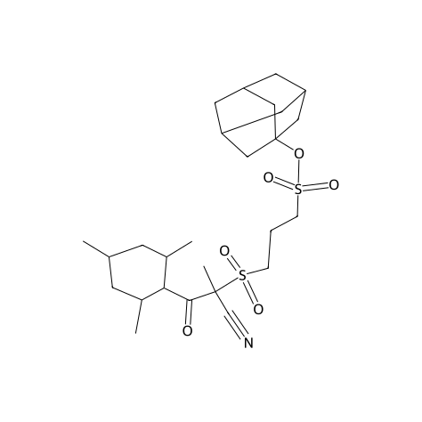 CC1CC(C)C(C(=O)C(C)(C#N)S(=O)(=O)CCCS(=O)(=O)OC23CC4CC(CC(C4)C2)C3)C(C)C1